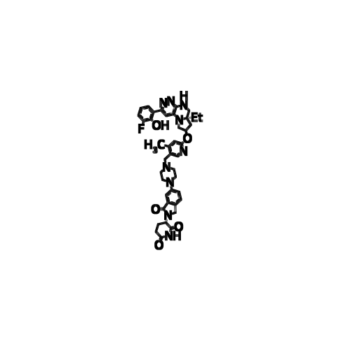 CC[C@@]12CNc3nnc(-c4cccc(F)c4O)cc3N1C[C@H](Oc1cc(C)c(CN3CCN(c4ccc5c(c4)C(=O)N([C@H]4CCC(=O)NC4=O)C5)CC3)cn1)C2